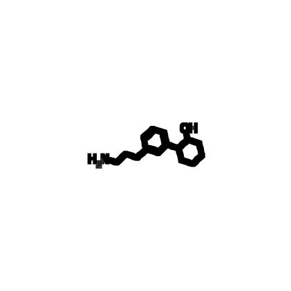 NCCCc1cccc(C2CCCCC2O)c1